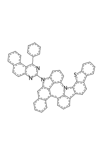 c1ccc(-c2nc(-n3c4cc5ccccc5c5c6cccc7c8ccc9c%10ccccc%10sc9c8n(c8cccc3c8c54)c76)nc3ccc4ccccc4c23)cc1